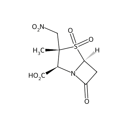 C[C@]1(C[N+](=O)[O-])[C@H](C(=O)O)N2C(=O)C[C@@H]2S1(=O)=O